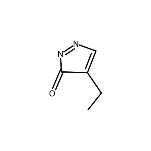 CCC1=CN=NC1=O